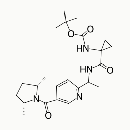 CC(NC(=O)C1(NC(=O)OC(C)(C)C)CC1)c1ccc(C(=O)N2[C@H](C)CC[C@@H]2C)cn1